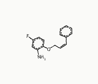 Nc1cc(F)ccc1OC/C=C\c1ccccc1